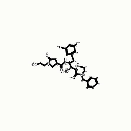 CCCN1CC(C(=O)NC(Cc2cc(F)cc(F)c2)[C@H](O)[C@@H]2NCCN(Cc3ccccc3)C2=O)CC1=O